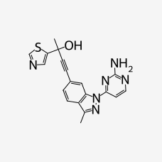 Cc1nn(-c2ccnc(N)n2)c2cc(C#CC(C)(O)c3cncs3)ccc12